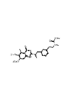 COC(=O)N(C)CCc1cccc(CN(C)c2nc(=O)c3c(C)c(OC)c(OC)cc3[nH]2)c1